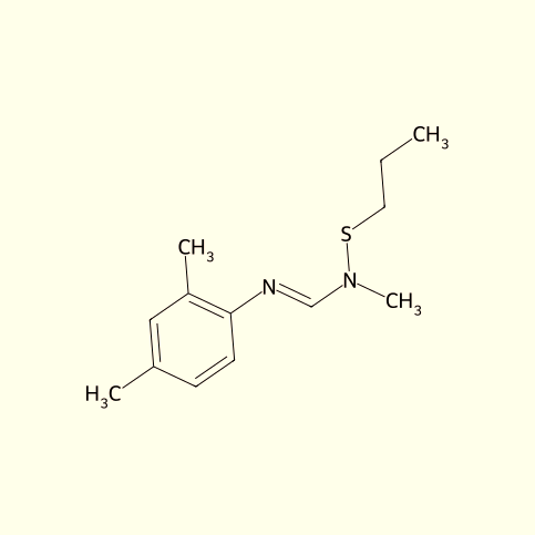 CCCSN(C)C=Nc1ccc(C)cc1C